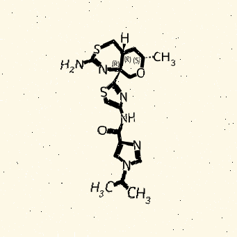 CC(C)n1cnc(C(=O)Nc2csc([C@]34CO[C@@H](C)C[C@H]3CSC(N)=N4)n2)c1